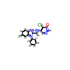 C[C@H](Nc1cnn(C)c(=O)c1Cl)c1nc2ccc(F)cc2n1-c1ccccc1